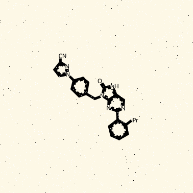 CC(C)c1ccccc1-c1ncc2[nH]c(=O)n(Cc3ccc(-n4ccc(C#N)n4)cc3)c2n1